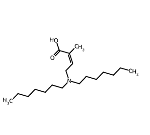 CCCCCCCN(CC=C(C)C(=O)O)CCCCCCC